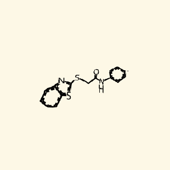 O=C(CSc1nc2ccccc2s1)Nc1cc[c]cc1